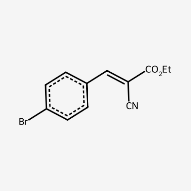 CCOC(=O)C(C#N)=Cc1ccc(Br)cc1